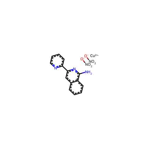 Nc1nc(-c2ccccn2)cc2ccccc12.O=[N+]([O-])[O-].O=[N+]([O-])[O-].[Cu+2]